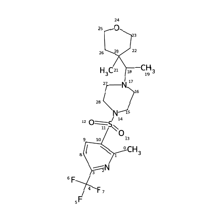 Cc1nc(C(F)(F)F)ccc1S(=O)(=O)N1CCN(C(C)C2(C)CCOCC2)CC1